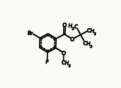 COc1c(F)cc(Br)cc1C(=O)OC(C)(C)C